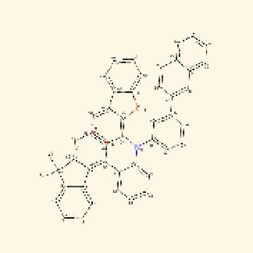 CC1(C)c2ccccc2-c2c(-c3ccccc3N(c3cccc(-c4ccc5ccccc5c4)c3)c3cccc4c3oc3ccccc34)cccc21